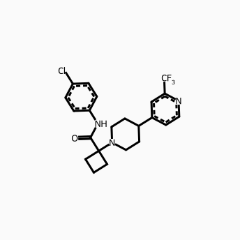 O=C(Nc1ccc(Cl)cc1)C1(N2CCC(c3ccnc(C(F)(F)F)c3)CC2)CCC1